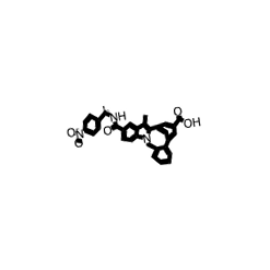 Cc1c2n(c3ccc(C(=O)N[C@@H](C)c4ccc([N+](=O)[O-])cc4)cc13)Cc1ccccc1-c1cc(C(=O)O)cc-2c1